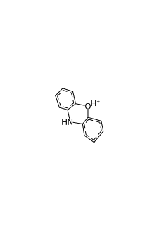 [H+].c1ccc2c(c1)Nc1ccccc1O2